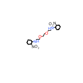 O=[N+]([O-])c1ccccc1NCCOCCOCCNc1ccccc1[N+](=O)[O-]